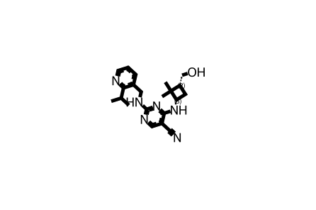 CC(C)c1ncccc1CNc1ncc(C#N)c(N[C@H]2C[C@@H](CO)C2(C)C)n1